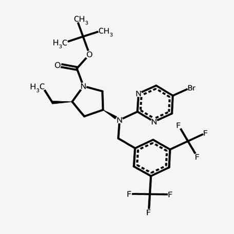 CC[C@@H]1C[C@H](N(Cc2cc(C(F)(F)F)cc(C(F)(F)F)c2)c2ncc(Br)cn2)CN1C(=O)OC(C)(C)C